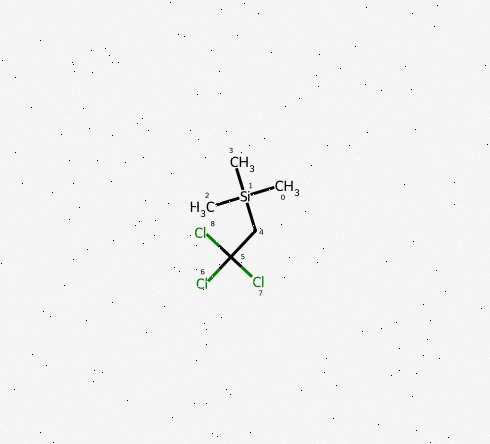 C[Si](C)(C)CC(Cl)(Cl)Cl